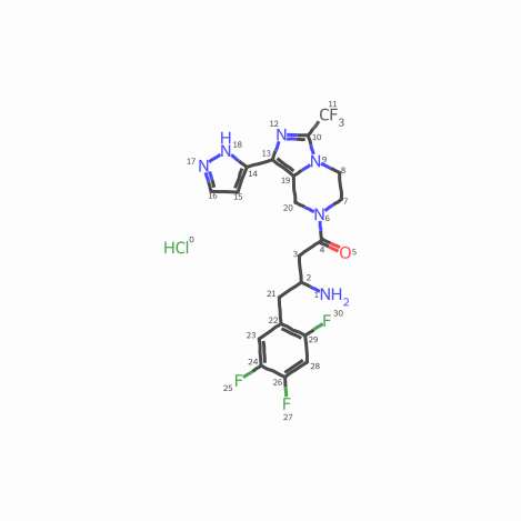 Cl.NC(CC(=O)N1CCn2c(C(F)(F)F)nc(-c3ccn[nH]3)c2C1)Cc1cc(F)c(F)cc1F